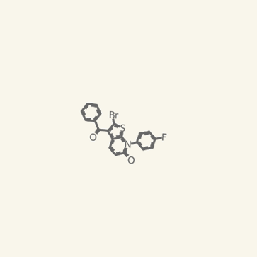 O=C(c1ccccc1)c1c(Br)sc2c1ccc(=O)n2-c1ccc(F)cc1